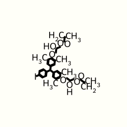 C=C(C)C(=O)OCC(O)COc1c(C)cc(C(c2ccc(I)cc2)c2cc(C)c(OCC(O)COC(=O)C(=C)C)c(C)c2)cc1C